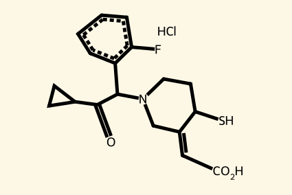 Cl.O=C(O)/C=C1/CN(C(C(=O)C2CC2)c2ccccc2F)CCC1S